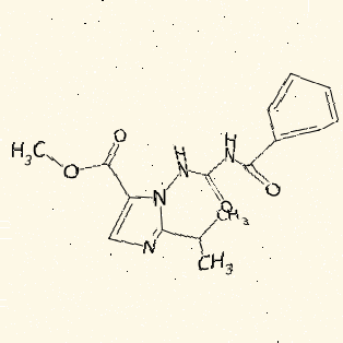 COC(=O)c1cnc(C(C)C)n1NC(=O)NC(=O)c1ccccc1